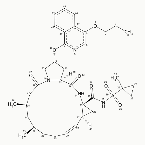 CCCOc1cnc(O[C@@H]2C[C@H]3C(=O)N[C@]4(C(=O)NS(=O)(=O)C5(C)CC5)C[C@H]4/C=C\CC[C@@H](C)C[C@@H](C)CC(=O)N3C2)c2ccccc12